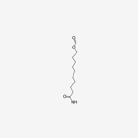 [NH]C(=O)CCCCCCCCCOC=O